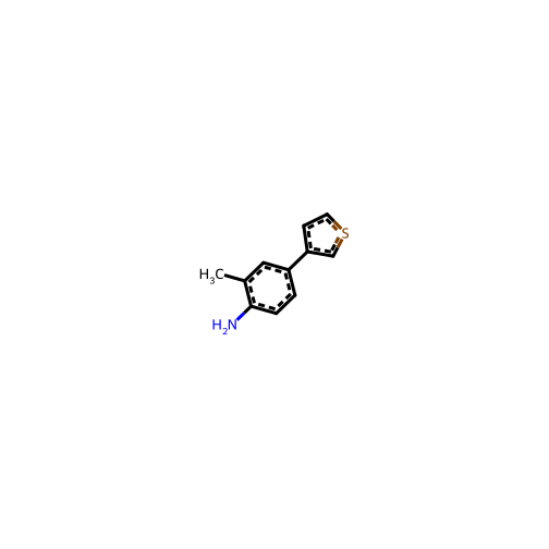 Cc1cc(-c2ccsc2)ccc1N